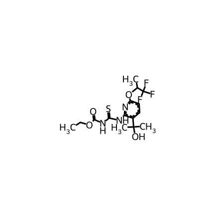 CCOC(=O)NC(=S)Nc1nc(OC(C)C(F)(F)F)ccc1C(C)(C)O